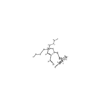 CC#N.CCCC[N+](CCCC)(CCCC)CCCC.O.[Br-]